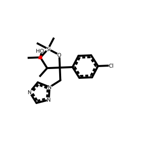 CC(O)C(C)C(Cn1cncn1)(O[Si](C)(C)C)c1ccc(Cl)cc1